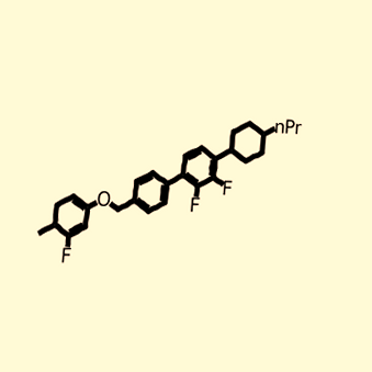 CCCC1CCC(c2ccc(-c3ccc(COC4=CCC(C)C(F)=C4)cc3)c(F)c2F)CC1